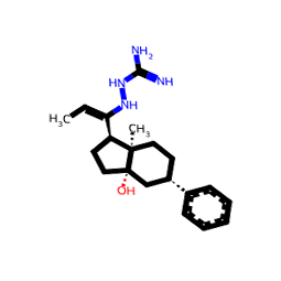 C/C=C(/NNC(=N)N)[C@@H]1CC[C@]2(O)C[C@@H](c3ccccc3)CC[C@]12C